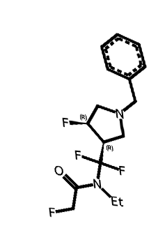 CCN(C(=O)CF)C(F)(F)[C@@H]1CN(Cc2ccccc2)C[C@@H]1F